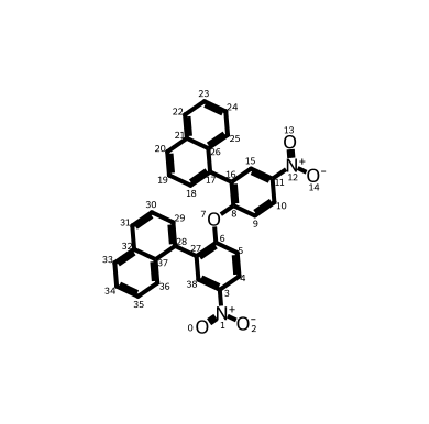 O=[N+]([O-])c1ccc(Oc2ccc([N+](=O)[O-])cc2-c2cccc3ccccc23)c(-c2cccc3ccccc23)c1